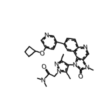 Cc1nn(CC(=O)N(C)C)c(C)c1-n1c(=O)n(C)c2cnc3ccc(-c4cncc(OC5CCC5)c4)cc3c21